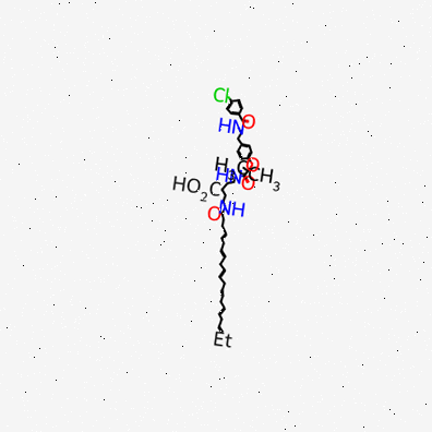 CCC=CCC=CCC=CCC=CCC=CCC=CCCC(=O)NCCC(CCNC(=O)C(C)(C)Oc1ccc(CCNC(=O)c2ccc(Cl)cc2)cc1)C(=O)O